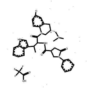 CC(c1c[nH]c2ccccc12)C(NC(=O)C1CC(=O)N(c2ccccc2)C1)C(=O)N1C[C@@H](CN(C)C)Cc2cc(Cl)ccc21.O=C(O)C(F)(F)F